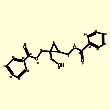 O=C(OCC1CC1(CO)COC(=O)c1ccccc1)c1ccccc1